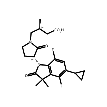 C[C@@H](CC(=O)O)CN1CC[C@@H](N2C(=O)C(C)(C)c3c(F)c(C4CC4)cc(F)c32)C1=O